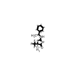 C[C@H](NC1=NC(=O)[C@@](C)(C(F)(F)F)S1)c1ccccc1